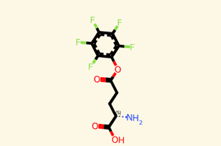 N[C@@H](CCC(=O)Oc1c(F)c(F)c(F)c(F)c1F)C(=O)O